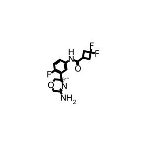 C[C@@]1(c2cc(NC(=O)C3CC(F)(F)C3)ccc2F)COCC(N)=N1